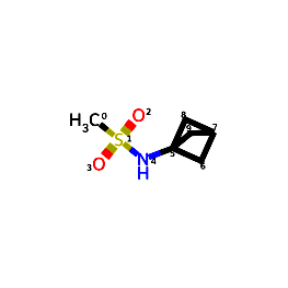 CS(=O)(=O)NC12CC(C1)C2